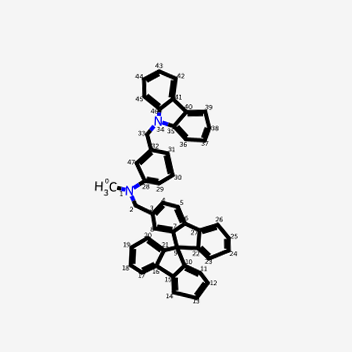 CN(Cc1ccc2c(c1)C1(c3ccccc3-c3ccccc31)c1ccccc1-2)c1cccc(Cn2c3ccccc3c3ccccc32)c1